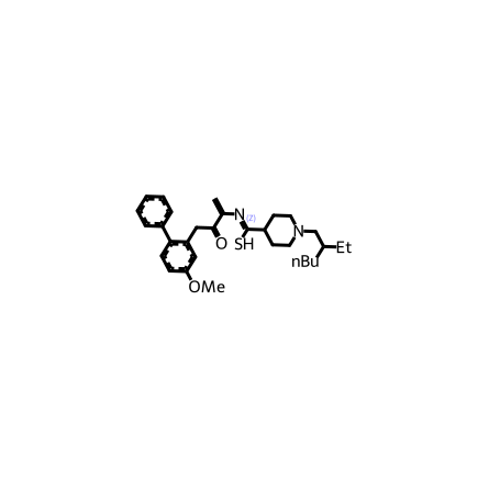 C=C(/N=C(\S)C1CCN(CC(CC)CCCC)CC1)C(=O)Cc1cc(OC)ccc1-c1ccccc1